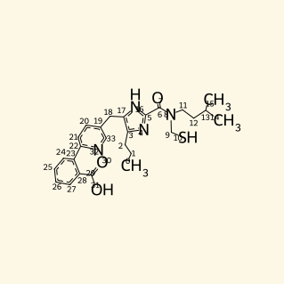 CCCc1nc(C(=O)N(CS)CCC(C)C)[nH]c1Cc1ccc(-c2ccccc2C(=O)O)nc1